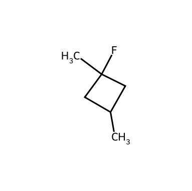 CC1CC(C)(F)C1